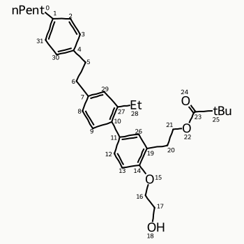 CCCCCc1ccc(CCc2ccc(-c3ccc(OCCO)c(CCOC(=O)C(C)(C)C)c3)c(CC)c2)cc1